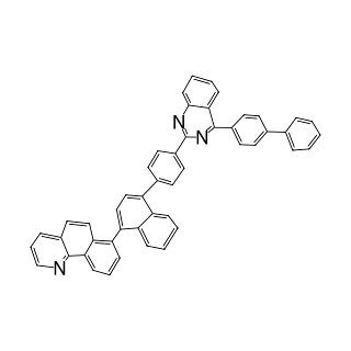 c1ccc(-c2ccc(-c3nc(-c4ccc(-c5ccc(-c6cccc7c6ccc6cccnc67)c6ccccc56)cc4)nc4ccccc34)cc2)cc1